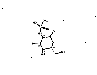 CC(=O)OP(=O)(O)N[C@H]1C(O)O[C@H](CO)[C@@H](O)[C@@H]1O